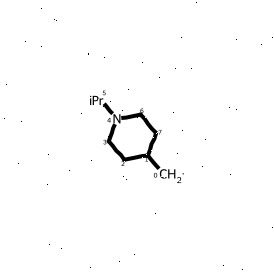 [CH2]C1CCN(C(C)C)CC1